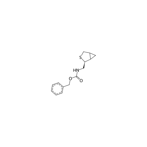 O=C(NC[C@H]1SCC2CC21)OCc1ccccc1